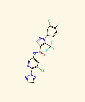 O=C(Nc1cnc(-n2nccn2)c(Cl)c1)c1cnn(-c2ccc(F)c(F)c2)c1C(F)(F)F